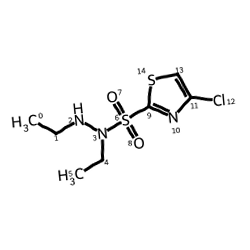 CCNN(CC)S(=O)(=O)c1nc(Cl)cs1